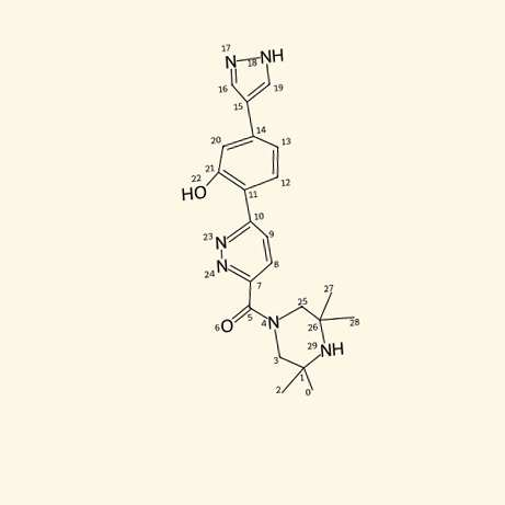 CC1(C)CN(C(=O)c2ccc(-c3ccc(-c4cn[nH]c4)cc3O)nn2)CC(C)(C)N1